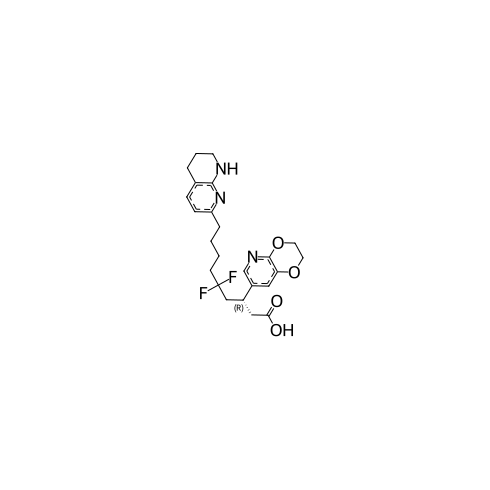 O=C(O)C[C@H](CC(F)(F)CCCCc1ccc2c(n1)NCCC2)c1cnc2c(c1)OCCO2